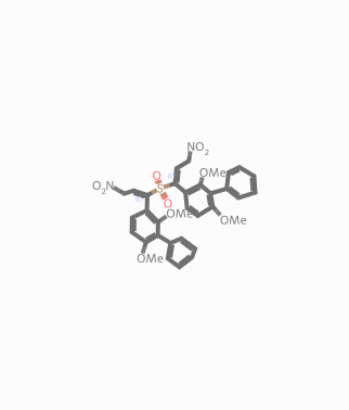 COc1ccc(/C(=C\C[N+](=O)[O-])S(=O)(=O)/C(=C/C[N+](=O)[O-])c2ccc(OC)c(-c3ccccc3)c2OC)c(OC)c1-c1ccccc1